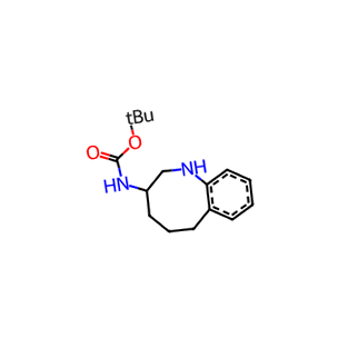 CC(C)(C)OC(=O)NC1CCCc2ccccc2NC1